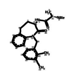 CN[C@@H](C)C(=O)N[C@H]1CCc2ccccc2N(Cc2cccc(C)c2C)C1=O